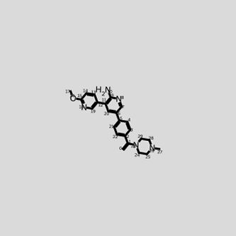 C=C(c1ccc(-c2cnc(N)c(-c3ccc(OC)nc3)c2)cc1)N1CCN(C)CC1